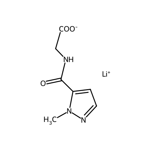 Cn1nccc1C(=O)NCC(=O)[O-].[Li+]